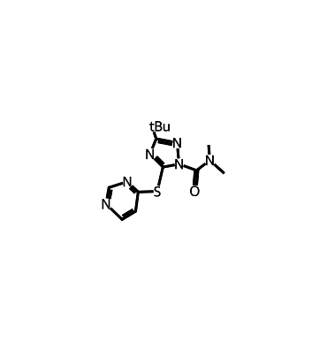 CN(C)C(=O)n1nc(C(C)(C)C)nc1Sc1ccncn1